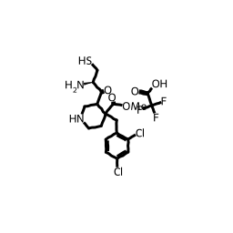 COC(=O)C1(Cc2ccc(Cl)cc2Cl)CCNCC1C(=O)[C@@H](N)CS.O=C(O)C(F)(F)F